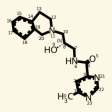 Cc1cc(C(=O)NC[C@H](O)CN2CCc3ccccc3C2)ncn1